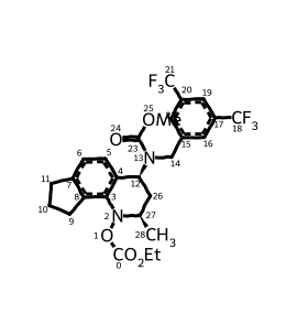 CCOC(=O)ON1c2c(ccc3c2CCC3)[C@@H](N(Cc2cc(C(F)(F)F)cc(C(F)(F)F)c2)C(=O)OC)C[C@H]1C